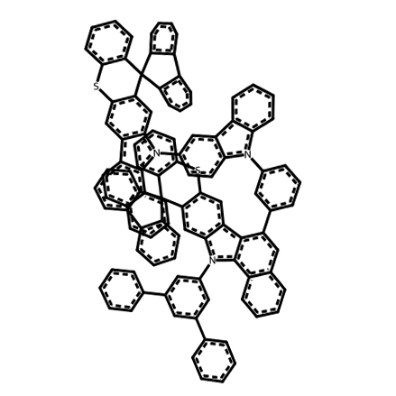 c1ccc(-c2cc(-c3ccccc3)cc(-n3c4cc5c(cc4c4c(-c6cccc(-n7c8ccccc8c8cc(-n9c%10cc%11c(cc%10c%10ccc%12ccccc%12c%109)Sc9ccccc9C%119c%10ccccc%10-c%10ccccc%109)ccc87)c6)cc6ccccc6c43)Sc3ccccc3C53c4ccccc4-c4ccccc43)c2)cc1